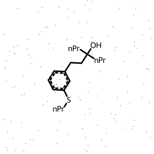 CCCSc1cccc(CCC(O)(CCC)CCC)c1